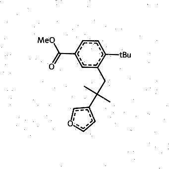 COC(=O)c1ccc(C(C)(C)C)c(CC(C)(C)c2ccoc2)c1